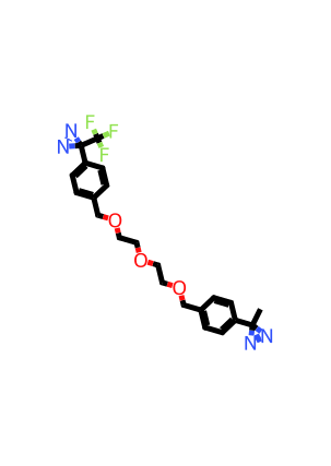 CC1(c2ccc(COCCOCCOCc3ccc(C4(C(F)(F)F)N=N4)cc3)cc2)N=N1